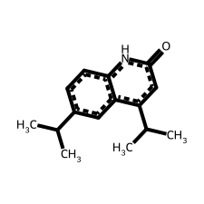 CC(C)c1ccc2[nH]c(=O)cc(C(C)C)c2c1